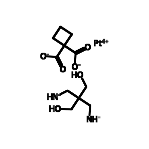 O=C([O-])C1(C(=O)[O-])CCC1.[NH-]CC(C[NH-])(CO)CO.[Pt+4]